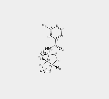 C[C@@]1(NC(=O)c2cccc(F)c2)CC[C@@H]2CNC[C@@H]21